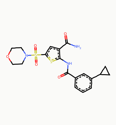 NC(=O)c1cc(S(=O)(=O)N2CCOCC2)sc1NC(=O)c1cccc(C2CC2)c1